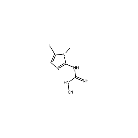 Cn1c(I)cnc1NC(=N)NC#N